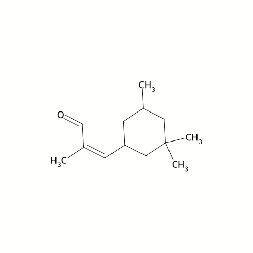 CC(C=O)=CC1CC(C)CC(C)(C)C1